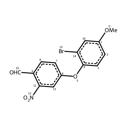 COc1ccc(Oc2ccc(C=O)c([N+](=O)[O-])c2)c(Br)c1